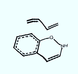 C1=Cc2ccccc2ON1.C=CC=C